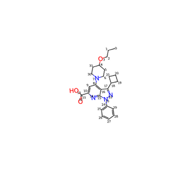 CCCOC1CCN(c2cc(C(=O)O)nc3c2c(C2CCC2)nn3-c2ccccc2)CC1